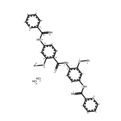 CC(C)Oc1cc(NC(=N)c2ccccn2)ccc1NC(=O)c1ccc(NC(=N)c2ccccn2)cc1OC(C)C.Cl.Cl